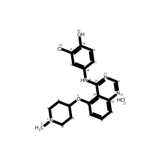 CN1CCC(Oc2cccc3ncnc(Nc4ccc(O)c(Cl)c4)c23)CC1.Cl